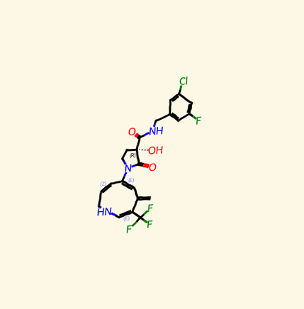 C=C1/C=C(N2CC[C@@](O)(C(=O)NCc3cc(F)cc(Cl)c3)C2=O)\C=C/CN/C=C\1C(F)(F)F